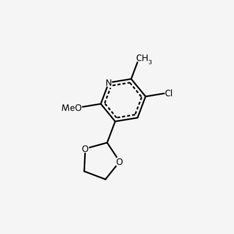 COc1nc(C)c(Cl)cc1C1OCCO1